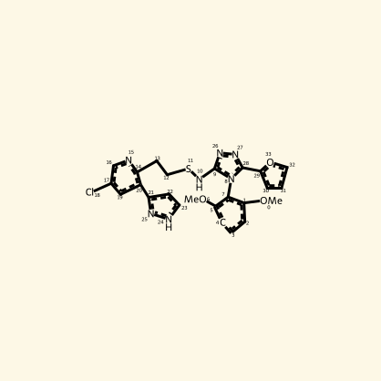 COc1cccc(OC)c1-n1c(NSCCc2ncc(Cl)cc2-c2cc[nH]n2)nnc1-c1ccco1